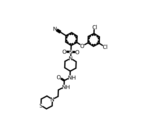 N#Cc1ccc(Oc2cc(Cl)cc(Cl)c2)c(S(=O)(=O)N2CCC(NC(=O)NCCN3CCSCC3)CC2)c1